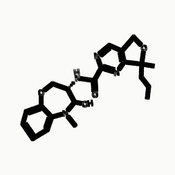 CCCC1(C)OCc2cnc(C(=O)N[C@H]3COc4ccccc4N(C)C3O)nc21